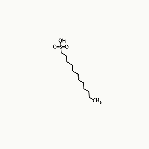 CCCCC/C=C/CCCCCS(=O)(=O)O